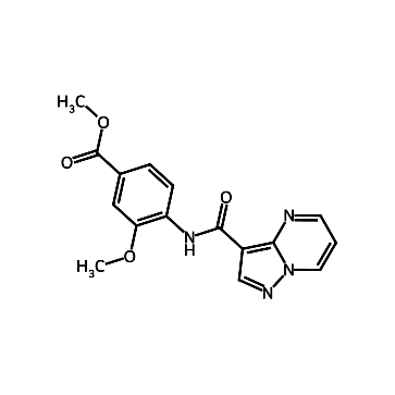 COC(=O)c1ccc(NC(=O)c2cnn3cccnc23)c(OC)c1